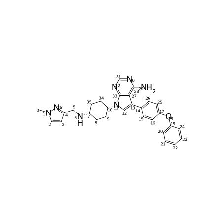 Cn1ccc(CN[C@H]2CC[C@@H](n3cc(-c4ccc(Oc5ccccc5)cc4)c4c(N)ncnc43)CC2)n1